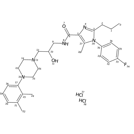 CCCc1nc(C(=O)NCC(O)CN2CCN(c3cccc(C)c3C)CC2)c(C)n1-c1ccc(F)cc1.Cl.Cl